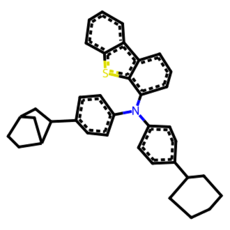 c1ccc2c(c1)sc1c(N(c3ccc(C4CCCCC4)cc3)c3ccc(C4CC5CCC4C5)cc3)cccc12